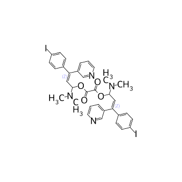 CN(C)C(/C=C(/c1ccc(I)cc1)c1cccnc1)OC(=O)C(=O)OC(/C=C(/c1ccc(I)cc1)c1cccnc1)N(C)C